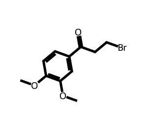 COc1ccc(C(=O)CCBr)cc1OC